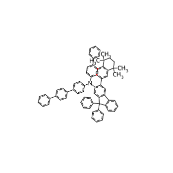 CC1(C)CCC(C)(C)c2cc(-c3cc4c(cc3N(c3ccc(-c5ccccc5)cc3)c3ccc(-c5ccc(-c6ccccc6)cc5)cc3)C(c3ccccc3)(c3ccccc3)c3ccccc3-4)ccc21